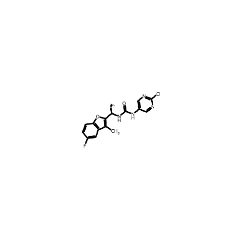 Cc1c(C(NC(=O)Nc2cnc(Cl)nc2)C(C)C)oc2ccc(F)cc12